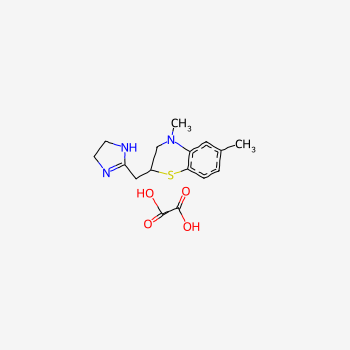 Cc1ccc2c(c1)N(C)CC(CC1=NCCN1)S2.O=C(O)C(=O)O